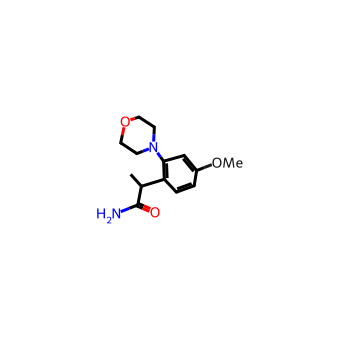 COc1ccc(C(C)C(N)=O)c(N2CCOCC2)c1